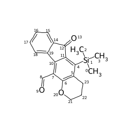 C[Si](C)(C)c1c2c(c(C=O)c3c1C(=O)c1ccccc1-3)OCCC2